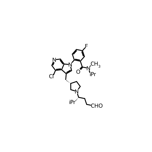 CC(C)[C@@H](CCC=O)N1CC[C@@H](Cc2cn(-c3ccc(F)cc3C(=O)N(C)C(C)C)c3cncc(Cl)c23)C1